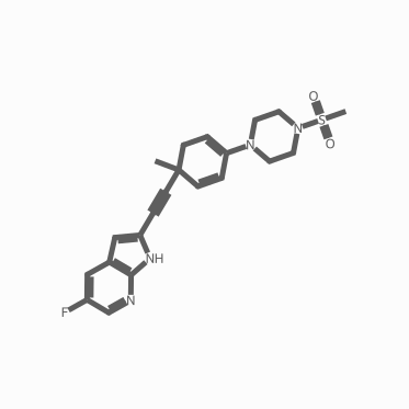 CC1(C#Cc2cc3cc(F)cnc3[nH]2)C=CC(N2CCN(S(C)(=O)=O)CC2)=CC1